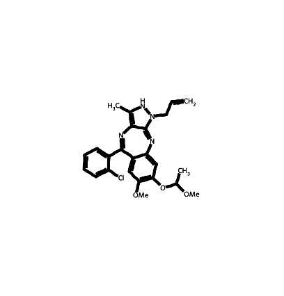 C=CCN1NC(C)=C2N=C(c3ccccc3Cl)c3cc(OC)c(OC(C)OC)cc3N=C21